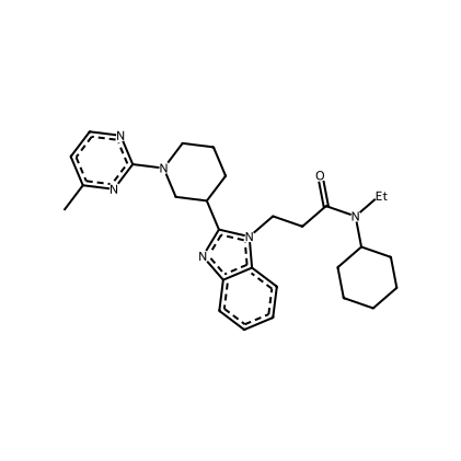 CCN(C(=O)CCn1c(C2CCCN(c3nccc(C)n3)C2)nc2ccccc21)C1CCCCC1